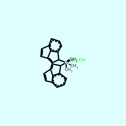 Cl.Cl.[CH3][Zr]([CH3])(=[SiH2])([CH]1C=C2C=Cc3cccc1c32)[CH]1C=C2C=Cc3cccc1c32